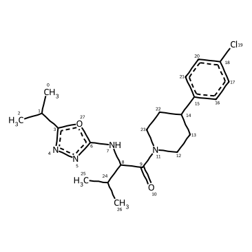 CC(C)c1nnc(NC(C(=O)N2CCC(c3ccc(Cl)cc3)CC2)C(C)C)o1